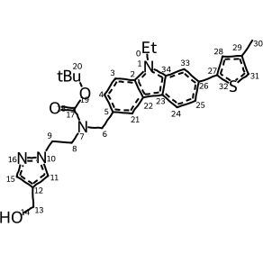 CCn1c2ccc(CN(CCn3cc(CO)cn3)C(=O)OC(C)(C)C)cc2c2ccc(-c3cc(C)cs3)cc21